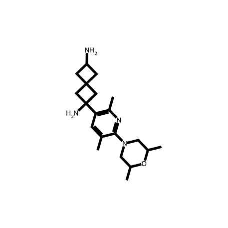 Cc1cc(C2(N)CC3(CC(N)C3)C2)c(C)nc1N1CC(C)OC(C)C1